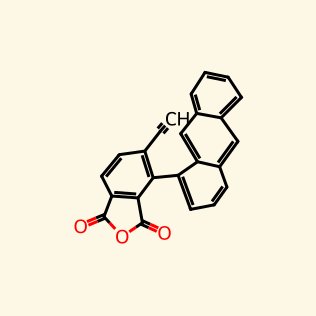 C#Cc1ccc2c(c1-c1cccc3cc4ccccc4cc13)C(=O)OC2=O